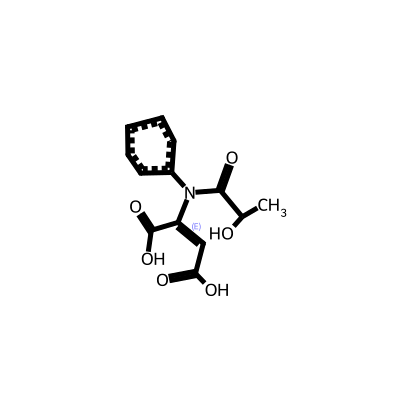 CC(O)C(=O)N(/C(=C/C(=O)O)C(=O)O)c1ccccc1